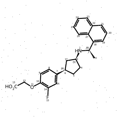 C[C@@H](N[C@H]1CC[C@@H](c2ccc(OCC(=O)O)c(F)c2)C1)c1cccc2ccccc12